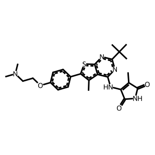 CC1=C(Nc2nc(C(C)(C)C)nc3sc(-c4ccc(OCCN(C)C)cc4)c(C)c23)C(=O)NC1=O